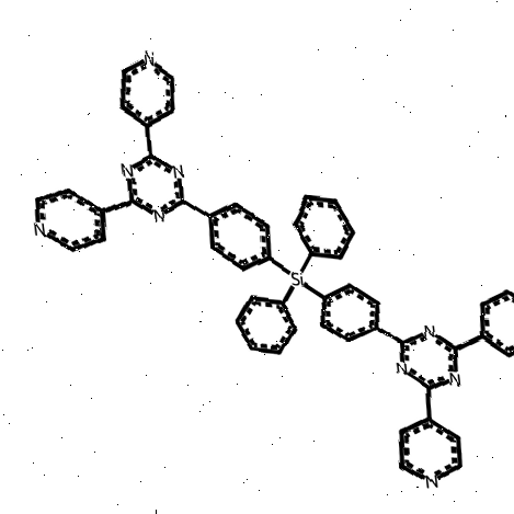 c1ccc([Si](c2ccccc2)(c2ccc(-c3nc(-c4ccncc4)nc(-c4ccncc4)n3)cc2)c2ccc(-c3nc(-c4ccncc4)nc(-c4ccncc4)n3)cc2)cc1